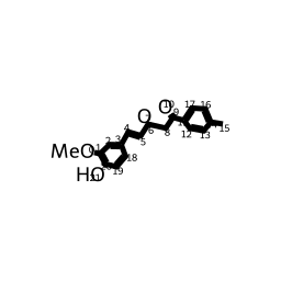 COc1cc(C=CC(=O)CC(=O)c2ccc(C)cc2)ccc1O